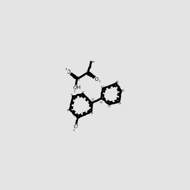 CC(=O)C(=O)O.Clc1cccc(-c2ccccc2)c1